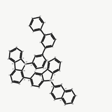 c1ccc(-c2cccc(-c3cccc(-n4c5ccccc5c5cccc(-c6ccc7c(c6)c6ccccc6n7-c6ccc7ccccc7c6)c54)c3)c2)cc1